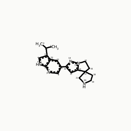 CC(C)c1c[nH]c2ncc(-c3cc4n(n3)CCC43CCNC3)cc12